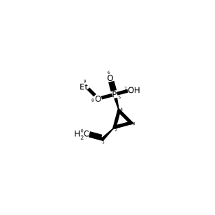 C=C[C@@H]1C[C@@H]1P(=O)(O)OCC